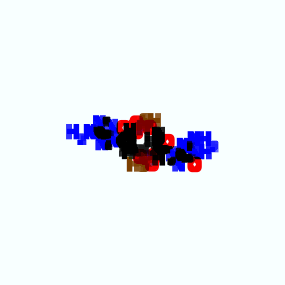 CO[C@H]1[C@H]2O[P@](=O)(S)OC[C@H]3C[C@@H](n4cnc5c(N)ncnc54)[C@H](O)[C@@H]3O[P@](=O)(S)OC[C@H]1O[C@H]2n1cnc2c(=O)[nH]c(N)nc21